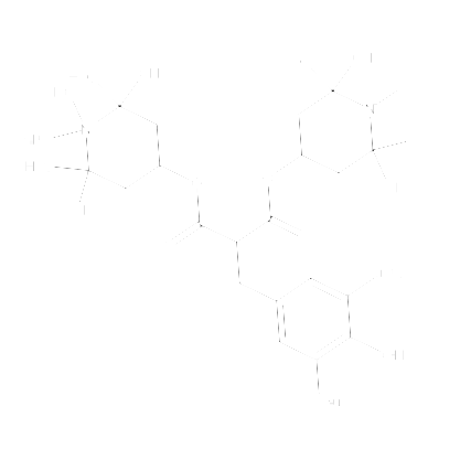 CCCC[N+]1(C)C(C)(C)CC(OC(=O)C(Cc2cc(C(C)(C)C)c(O)c(C(C)(C)C)c2)C(=O)OC2CC(C)(C)N(C)C(C)(C)C2)CC1(C)C